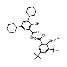 CC(C)(C)c1cc(C(=O)O)c(O)c(C(C)(C)C)c1.O=C(O)c1cc(C2CCCCC2)cc(C2CCCCC2)c1O.[Zn].[Zn]